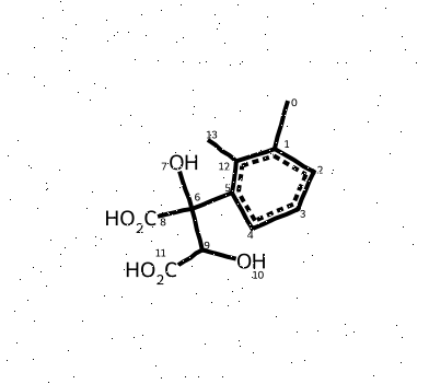 Cc1cccc(C(O)(C(=O)O)C(O)C(=O)O)c1C